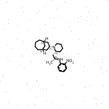 C[C@H](C[C@H]1CCCCN1[C@@H]1C[C@@H]2CCCC[C@@H](C2)C1)Nc1ccccc1[N+](=O)[O-]